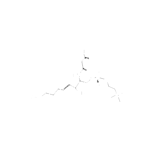 CCCCCCCCCCCCCC=CC(O)C(COP(=O)(O)OCC[N+](C)(C)C)NC(=O)CC(=O)C(C)C